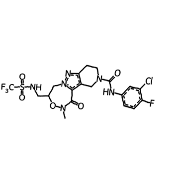 CN1OC(CNS(=O)(=O)C(F)(F)F)Cn2nc3c(c2C1=O)CN(C(=O)Nc1ccc(F)c(Cl)c1)CC3